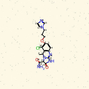 CC1c2c(ccc(OCCCn3ccnc3)c2Cl)N=C2NC(=O)C(C(N)=O)N21